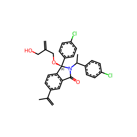 C=C(CO)CO[C@]1(c2ccc(Cl)cc2)c2ccc(C(=C)C)cc2C(=O)N1C(C)c1ccc(Cl)cc1